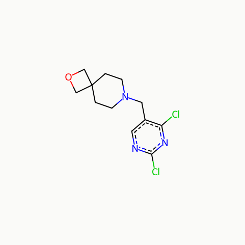 Clc1ncc(CN2CCC3(CC2)COC3)c(Cl)n1